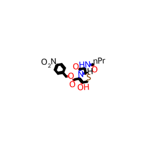 CCCC(=O)NC1C(=O)N2C(C(=O)OCc3ccc([N+](=O)[O-])cc3)=C(O)CS[C@@H]12